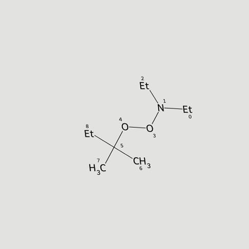 CCN(CC)OOC(C)(C)CC